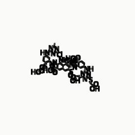 Cc1nc(Cl)nc(Nc2ccc(SOOO)c(N=Nc3c(S(=O)(=O)O)cc4cc(SOOO)c(N=Nc5cc(Nc6nc(Cl)nc(SCC(=O)O)n6)ccc5S(=O)(=O)O)c(O)c4c3N)c2)n1